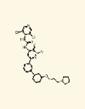 CCn1nc(-c2cccc(-c3cccc(OCCCN4CCCC4)c3)c2)cc(NC(=O)Nc2c(Cl)cncc2Cl)c1=O